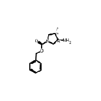 C[C@H]1CN(C(=O)OCc2ccccc2)C[C@@H]1N